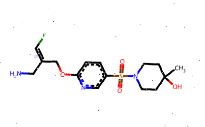 CC1(O)CCN(S(=O)(=O)c2ccc(OC/C(=C\F)CN)nc2)CC1